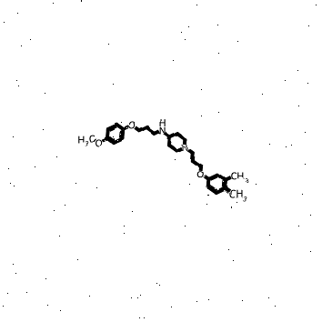 COc1ccc(OCCCNC2CCN(CCCOc3ccc(C)c(C)c3)CC2)cc1